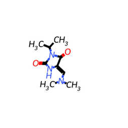 CC(C)N1C(=O)N/C(=C\N(C)C)C1=O